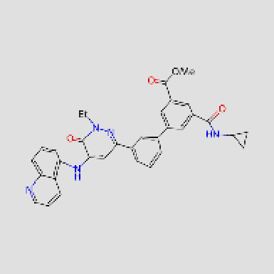 CCn1nc(-c2cccc(-c3cc(C(=O)NC4CC4)cc(C(=O)OC)c3)c2)cc(Nc2cccc3ncccc23)c1=O